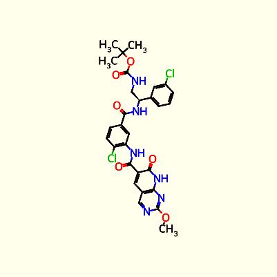 COc1ncc2cc(C(=O)Nc3cc(C(=O)N[C@@H](CNC(=O)OC(C)(C)C)c4cccc(Cl)c4)ccc3Cl)c(=O)[nH]c2n1